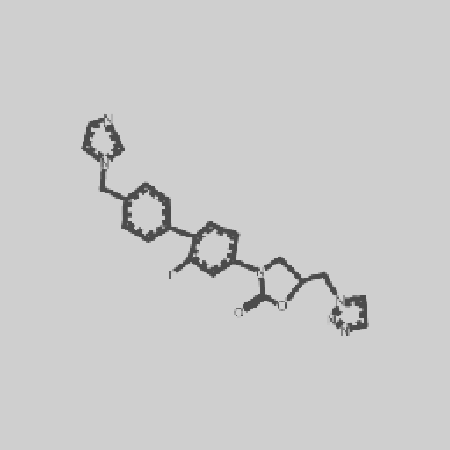 O=C1OC(Cn2ccnn2)CN1c1ccc(-c2ccc(Cn3ccnc3)cc2)c(F)c1